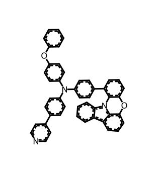 c1ccc(Oc2ccc(N(c3ccc(-c4ccncc4)cc3)c3ccc(-c4cccc5c4-n4c6ccccc6c6cccc(c64)O5)cc3)cc2)cc1